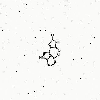 O=C1C=C(c2c[nH]c3cccc(Cl)c23)C(=O)N1